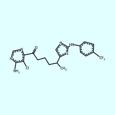 CC(CCCC(=O)c1ncnc(N)c1Cl)c1cnc(Nc2ccc(C(F)(F)F)cc2)s1